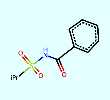 CC(C)S(=O)(=O)NC(=O)c1ccccc1